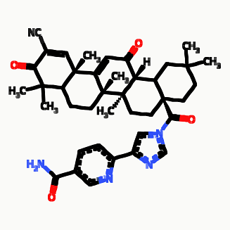 CC1(C)CC[C@]2(C(=O)n3cnc(-c4ccc(C(N)=O)cn4)c3)CC[C@]3(C)[C@H](C(=O)C=C4[C@@]5(C)C=C(C#N)C(=O)C(C)(C)C5CC[C@]43C)C2C1